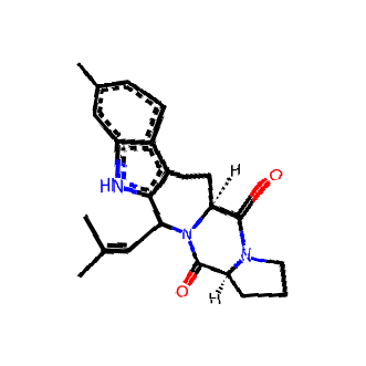 CC(C)=CC1c2[nH]c3cc(C)ccc3c2C[C@H]2C(=O)N3CCC[C@H]3C(=O)N12